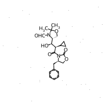 CC1(C)OC[C@H]([C@H](O)[C@H](C(=O)N2C(=O)OC[C@H]2Cc2ccccc2)C2CC2)N1C=O